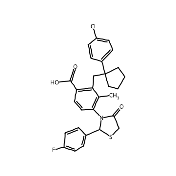 Cc1c(N2C(=O)CSC2c2ccc(F)cc2)ccc(C(=O)O)c1CC1(c2ccc(Cl)cc2)CCCC1